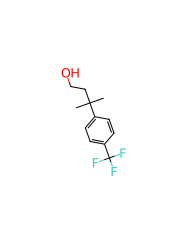 CC(C)(CCO)c1ccc(C(F)(F)F)cc1